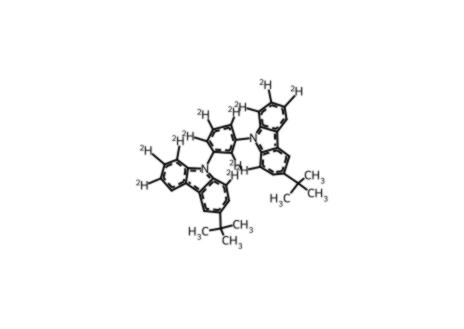 [2H]c1cc2c3cc(C(C)(C)C)cc([2H])c3n(-c3c([2H])c([2H])c([2H])c(-n4c5c([2H])cc(C(C)(C)C)cc5c5cc([2H])c([2H])c([2H])c54)c3[2H])c2c([2H])c1[2H]